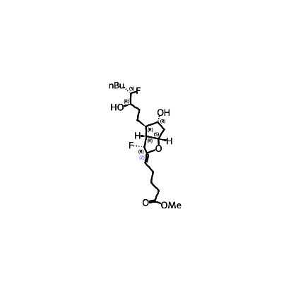 CCCC[C@H](F)[C@H](O)CC[C@@H]1[C@@H]2[C@H](C[C@H]1O)O/C(=C\CCCC(=O)OC)[C@@H]2F